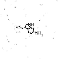 Nc1ccc2c(CCF)c[nH]c2c1